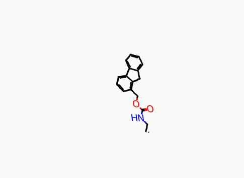 [CH2]CNC(=O)OCc1cccc2c1Cc1ccccc1-2